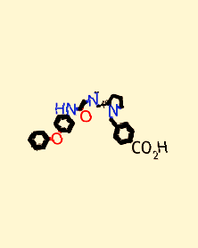 CN(CC(=O)Nc1ccc(Oc2ccccc2)cc1)C[C@H]1CCCN1Cc1ccc(C(=O)O)cc1